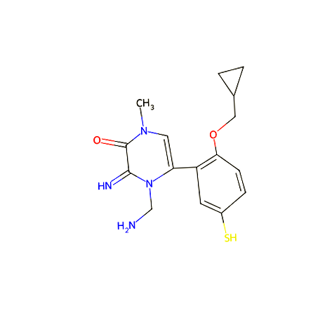 Cn1cc(-c2cc(S)ccc2OCC2CC2)n(CN)c(=N)c1=O